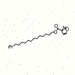 CC(C)CCCCCCCCCCCCCOC(=O)c1ccon1